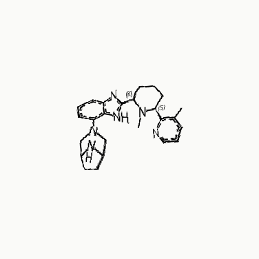 Cc1cccnc1[C@@H]1CCC[C@H](c2nc3cccc(N4CC5CCC(C4)N5)c3[nH]2)N1C